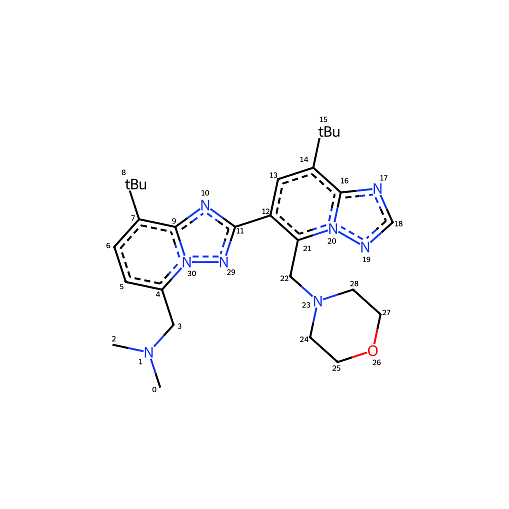 CN(C)Cc1ccc(C(C)(C)C)c2nc(-c3cc(C(C)(C)C)c4ncnn4c3CN3CCOCC3)nn12